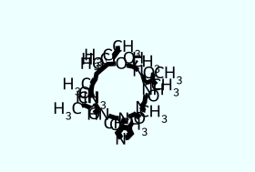 C/C=C(\C)[C@H]1OC(=O)[C@@H](C)NC(=O)C(C(C)CC)NC(=O)CN(C)C(=O)[C@@H](Cc2ccncc2)N(C)C(=O)[C@H](C)NC(=O)[C@@H](CC(C)C)NC(=O)/C(C)=C/C[C@H](O)[C@@H]1C